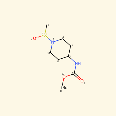 C[S+]([O-])N1CCC(NC(=O)OC(C)(C)C)CC1